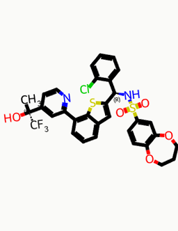 C[C@](O)(c1ccnc(-c2cccc3cc([C@H](NS(=O)(=O)c4ccc5c(c4)OCCCO5)c4ccccc4Cl)sc23)c1)C(F)(F)F